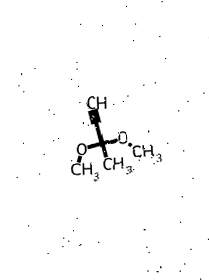 C#CC(C)(OC)OC